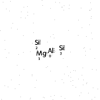 [Al].[Mg].[Si].[Si]